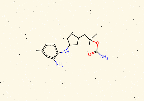 Cc1ccc(NC2CCC(CC(C)(C)OC(N)=O)C2)c(N)c1